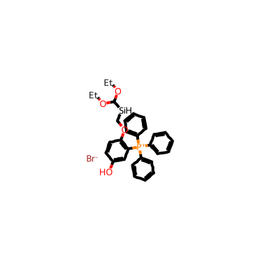 CCOC(OCC)[SiH2]COc1ccc(O)cc1[P+](c1ccccc1)(c1ccccc1)c1ccccc1.[Br-]